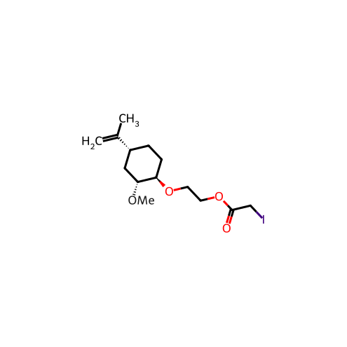 C=C(C)[C@@H]1CC[C@@H](OCCOC(=O)CI)[C@H](OC)C1